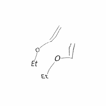 C=COCC.C=COCC